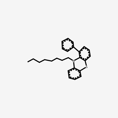 CCCCCCCCN1c2ccccc2Sc2cccc(-c3ccccc3)c21